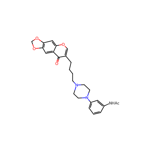 CC(=O)Nc1cccc(N2CCN(CCCCc3coc4cc5c(cc4c3=O)OCO5)CC2)c1